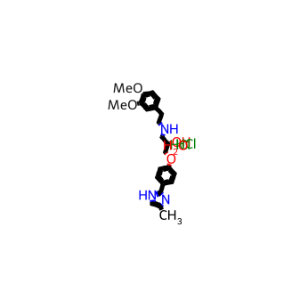 COc1ccc(CCNCC(O)COc2ccc(-c3nc(C)c[nH]3)cc2)cc1OC.Cl.Cl.O